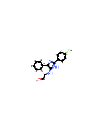 O=CCNc1[nH]c(-c2ccc(F)cc2)nc1-c1ccccc1